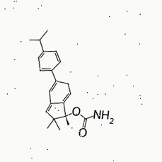 CC(C)c1ccc(C2=CC3=CC(C)(C)[C@@](C)(OC(N)=O)C3=CC2)cc1